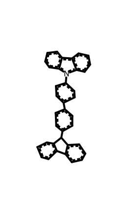 c1ccc2c(c1)-c1ccccc1C2c1ccc(-c2ccc(-n3c4ccccc4c4ccccc43)cc2)cc1